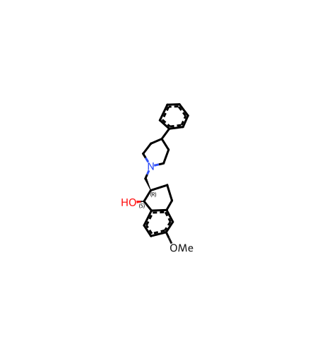 COc1ccc2c(c1)CC[C@H](CN1CCC(c3ccccc3)CC1)[C@@H]2O